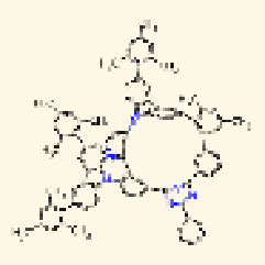 Cc1cc(C)c(-c2ccc3c(c2)c2cc4ccc2n3-c2ccnc(c2)-c2cc(ccc2-n2c3ccc(-c5c(C)cc(C)cc5C)cc3c3cc(-c5c(C)cc(C)cc5C)ccc32)-c2nc(-c3ccccc3)nc(n2)-c2cccc(c2)-c2cc(C)cc(C)c2-4)c(C)c1